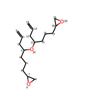 C=CCC(CCCC1CO1)OC(CC=C)CCCC1CO1